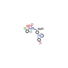 COc1ccc(CN(c2ccc(/C=C/CC(NC(=O)c3c(Cl)cccc3Cl)C(=O)O)cc2)c2ncccn2)cc1.[NaH]